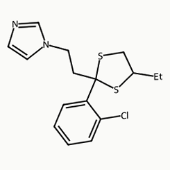 CCC1CSC(CCn2ccnc2)(c2ccccc2Cl)S1